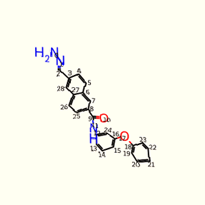 NN=Cc1ccc2cc(C(=O)Nc3cccc(Oc4ccccc4)c3)ccc2c1